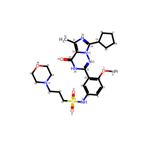 CCCOc1ccc(NS(=O)(=O)CCCN2CCOCC2)cc1-c1nn2c(C3CCCC3)nc(C)c2c(=O)[nH]1